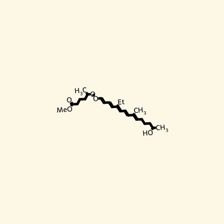 CCC(/C=C/C=C/OOC(C)CCCC(=O)OC)=C\C=C\C(C)=C\CCCC(C)O